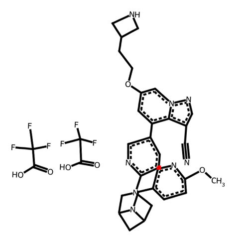 COc1ccc(CN2C3CC2CN(c2ccc(-c4cc(OCCC5CNC5)cn5ncc(C#N)c45)cn2)C3)cn1.O=C(O)C(F)(F)F.O=C(O)C(F)(F)F